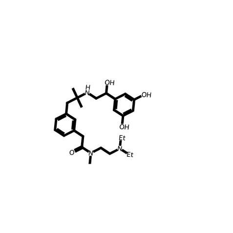 CCN(CC)CCN(C)C(=O)Cc1cccc(CC(C)(C)NCC(O)c2cc(O)cc(O)c2)c1